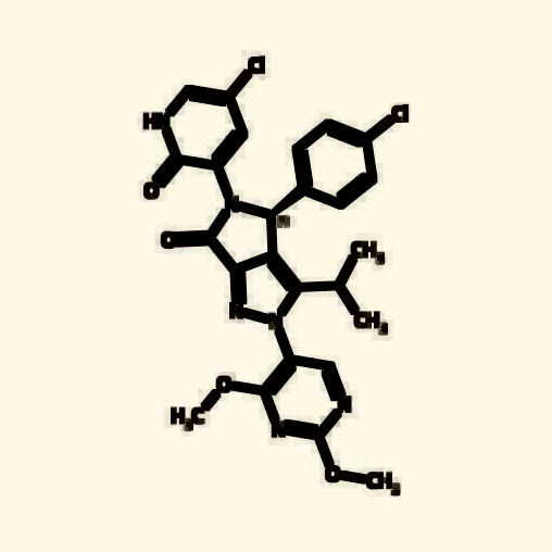 COc1ncc(-n2nc3c(c2C(C)C)[C@H](c2ccc(Cl)cc2)N(c2cc(Cl)c[nH]c2=O)C3=O)c(OC)n1